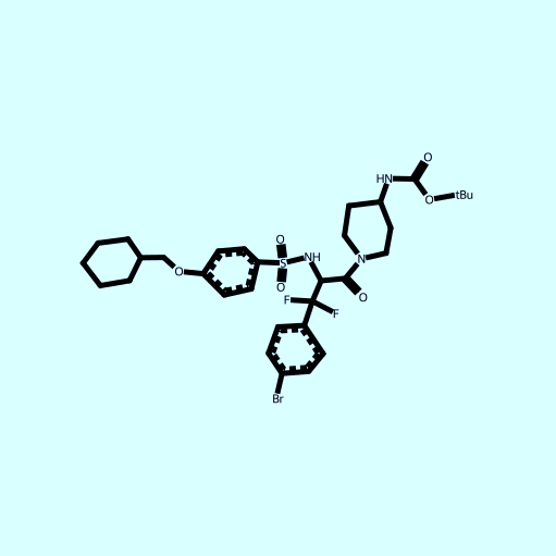 CC(C)(C)OC(=O)NC1CCN(C(=O)C(NS(=O)(=O)c2ccc(OCC3CCCCC3)cc2)C(F)(F)c2ccc(Br)cc2)CC1